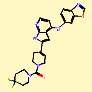 O=C(N1CC=C(c2cc3c(Nc4ccc5ncsc5c4)ccnc3[nH]2)CC1)N1CCC(F)(F)CC1